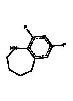 Fc1cc(F)c2c(c1)CCCCN2